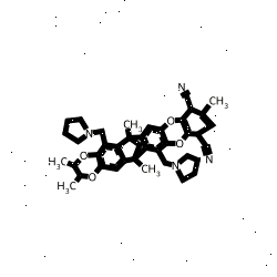 CC1=CC(C#N)C2=C(Oc3cc4c(c(CN5CCCC5)c3O2)C2(C)CC4(C)c3c2cc2c(c3CN3CCCC3)OC(C)C(C)O2)C1C#N